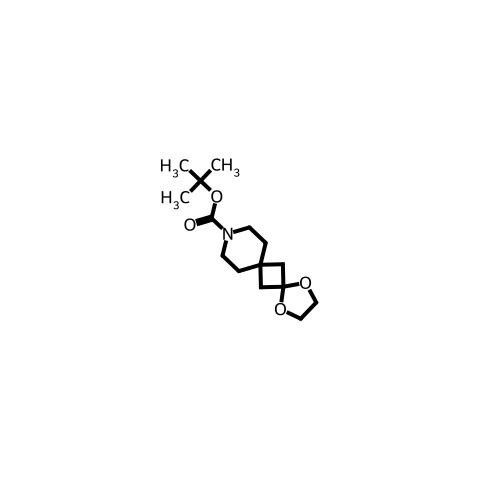 CC(C)(C)OC(=O)N1CCC2(CC1)CC1(C2)OCCO1